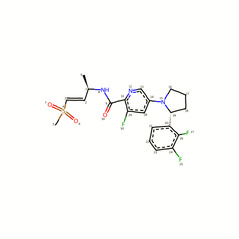 C[C@H](/C=C/S(C)(=O)=O)NC(=O)c1ncc(N2CCC[C@@H]2c2cccc(F)c2F)cc1F